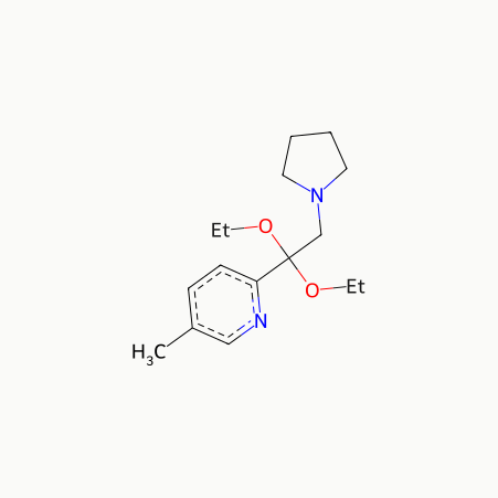 CCOC(CN1CCCC1)(OCC)c1ccc(C)cn1